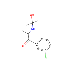 CC(NC(C)(C)O)C(=O)c1cccc(Cl)c1